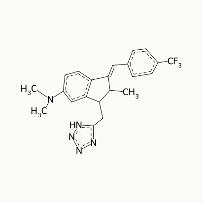 CC1C(=Cc2ccc(C(F)(F)F)cc2)c2ccc(N(C)C)cc2C1Cc1nnn[nH]1